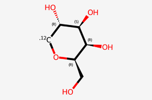 OC[C@H]1O[12CH][C@H](O)[C@@H](O)[C@H]1O